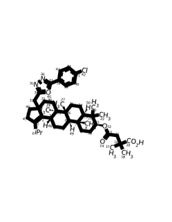 CC(C)C1=C2[C@H]3CC[C@@H]4[C@@]5(C)CC[C@H](OC(=O)CC(C)(C)C(=O)O)C(C)(C)[C@@H]5CC[C@@]4(C)[C@]3(C)CCC2(Cc2nnc(-c3ccc(Cl)cc3)o2)CC1